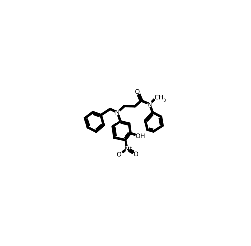 CN(C(=O)CCN(Cc1ccccc1)c1ccc([N+](=O)[O-])c(O)c1)c1ccccc1